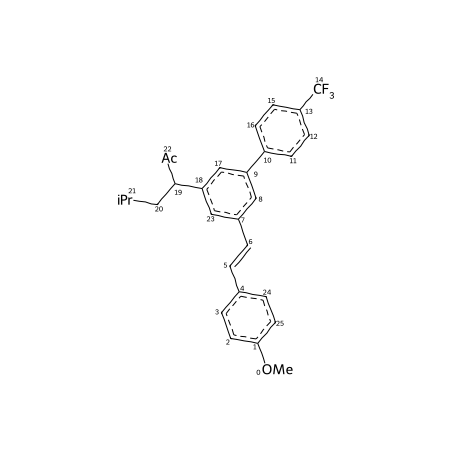 COc1ccc(/C=C/c2cc(-c3ccc(C(F)(F)F)cc3)cc(C(CC(C)C)C(C)=O)c2)cc1